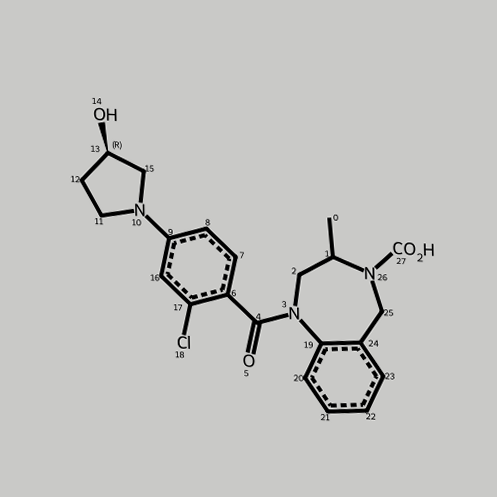 CC1CN(C(=O)c2ccc(N3CC[C@@H](O)C3)cc2Cl)c2ccccc2CN1C(=O)O